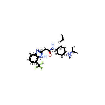 CCC[C@@H]1C[C@H](N(C)C(C)C)CC[C@@H]1NC(=O)Cc1nc2cccc(C(F)(F)F)c2[nH]1